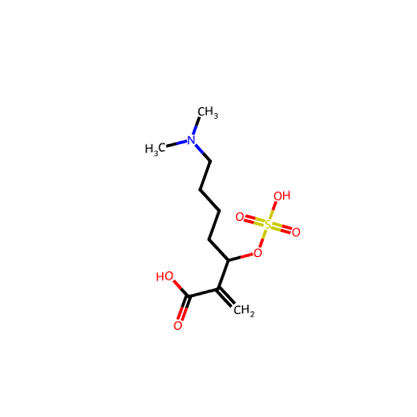 C=C(C(=O)O)C(CCCCN(C)C)OS(=O)(=O)O